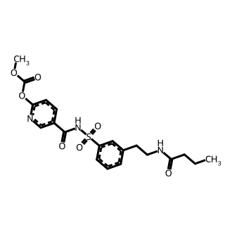 CCCC(=O)NCCc1cccc(S(=O)(=O)NC(=O)c2ccc(OC(=O)OC)nc2)c1